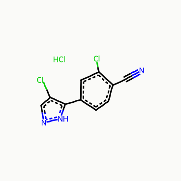 Cl.N#Cc1ccc(-c2[nH]ncc2Cl)cc1Cl